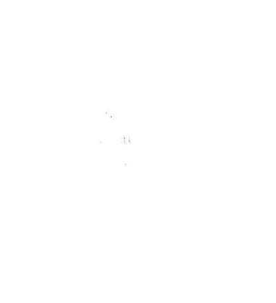 O=S(=O)(c1ccccc1)n1c(C(=CC2CCCC2)c2[c]cccc2)cc2cccnc21